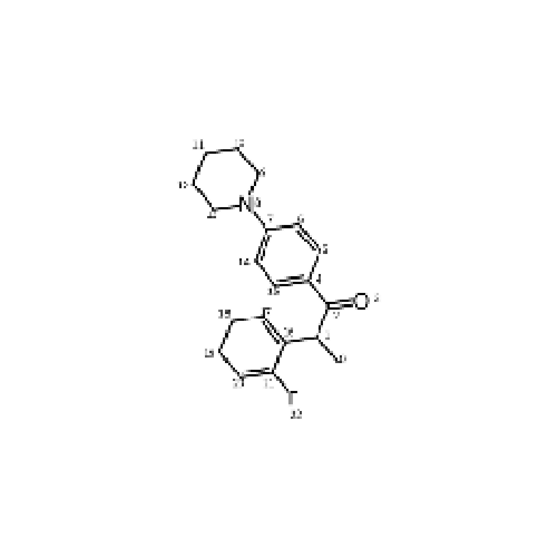 CC(C(=O)c1ccc(N2CCCCC2)cc1)C1=CCCC=C1F